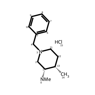 CN[C@@H]1CN(Cc2ccccc2)CC[C@@H]1C.Cl